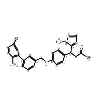 Cc1ccc(Cl)cc1-c1cccc(COc2ccc(C(CC(=O)O)c3ncnn3C)cc2)c1